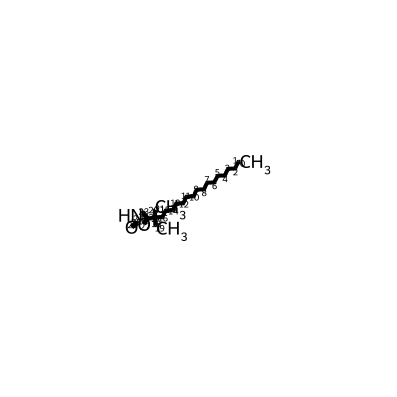 CCCCCCCCCCCCCCCCCC(CC)(CC)c1c[nH]c(=O)o1